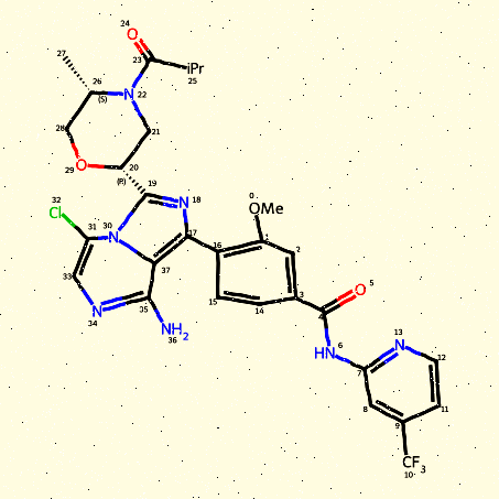 COc1cc(C(=O)Nc2cc(C(F)(F)F)ccn2)ccc1-c1nc([C@H]2CN(C(=O)C(C)C)[C@@H](C)CO2)n2c(Cl)cnc(N)c12